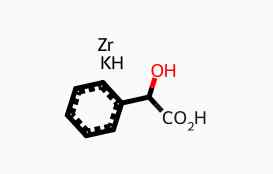 O=C(O)C(O)c1ccccc1.[KH].[Zr]